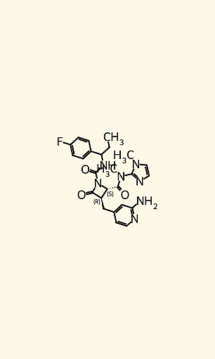 CCC(NC(=O)N1C(=O)[C@H](Cc2ccnc(N)c2)[C@H]1C(=O)N(C)c1nccn1C)c1ccc(F)cc1